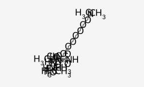 CN(C)CCOCCOCCOCCOCCOCCOCCC(=O)OCC(=O)[C@H](C[C@@H]1CCNC1=O)NC(=O)[C@@H]1[C@@H]2[C@H](CN1C(=O)[C@@H](NC(=O)C(F)(F)F)C(C)(C)C)C2(C)C